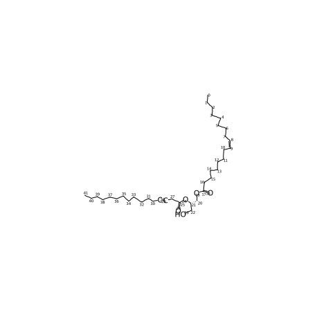 CCCCCCCC/C=C\CCCCCCCC(=O)OC[C@H](CO)OC(=O)CCCCCCCCCCCCCCC